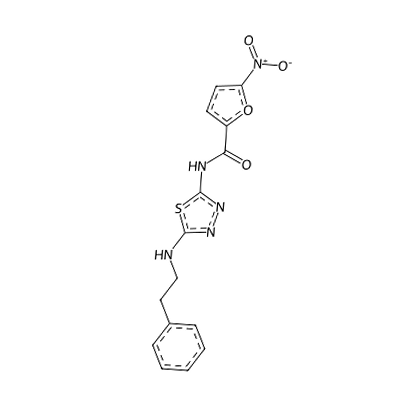 O=C(Nc1nnc(NCCc2ccccc2)s1)c1ccc([N+](=O)[O-])o1